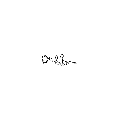 C=CCN1C[C@@H](NC(=O)COc2ccccc2)C1=O